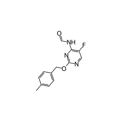 Cc1ccc(COc2ncc(F)c(NC=O)n2)cc1